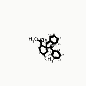 CC1CCC(C(C)C)C(C(=O)c2ccccc2)(C(=O)c2ccccc2)C1